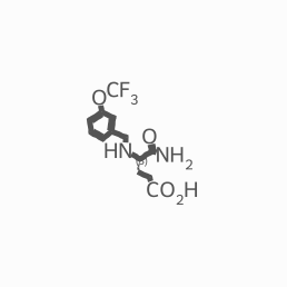 NC(=O)[C@H](CCC(=O)O)NCc1cccc(OC(F)(F)F)c1